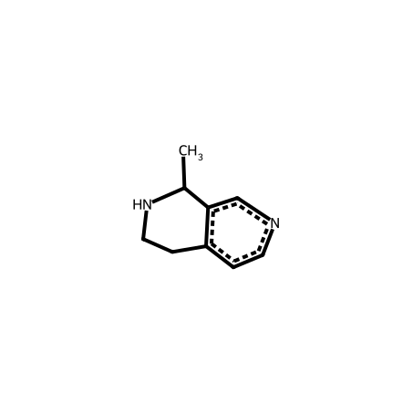 CC1NCCc2ccncc21